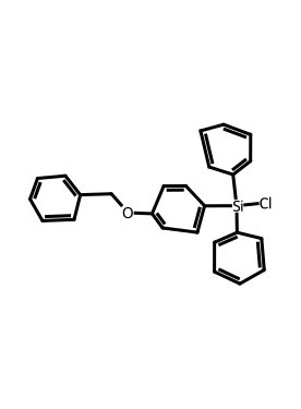 Cl[Si](c1ccccc1)(c1ccccc1)c1ccc(OCc2ccccc2)cc1